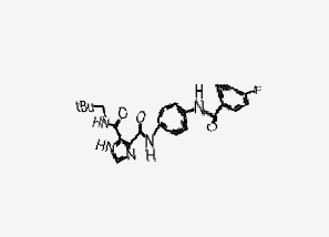 CC(C)(C)CNC(=O)c1[nH]cnc1C(=O)Nc1ccc(NC(=O)c2ccc(F)cc2)cc1